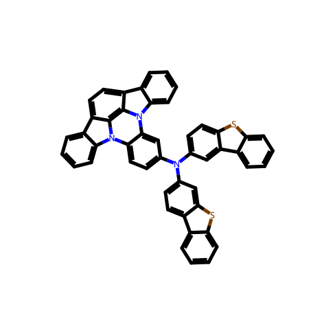 c1ccc2c(c1)sc1cc(N(c3ccc4sc5ccccc5c4c3)c3ccc4c(c3)n3c5ccccc5c5ccc6c7ccccc7n4c6c53)ccc12